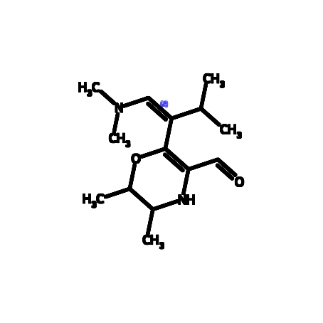 CC(C)/C(=C/N(C)C)C1=C(C=O)NC(C)C(C)O1